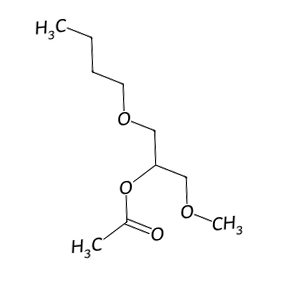 CCCCOCC(COC)OC(C)=O